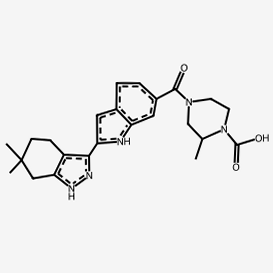 CC1CN(C(=O)c2ccc3cc(-c4n[nH]c5c4CCC(C)(C)C5)[nH]c3c2)CCN1C(=O)O